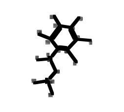 Cc1c(C)c(C)c(N(C)CN(C)C)c(C)c1C